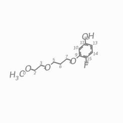 COCCOCCCOc1cc(O)ccc1F